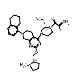 C=C(F)C(=O)N1CCN(c2nc(OC[C@@H]3CCCN3C)nc3c2CCN(c2cccc4c2CCCC4)C3)C[C@@H]1CC#N